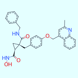 Cc1cc(COc2ccc(C[C@]3(C(=O)NCc4ccccc4)C[C@@H]3C(=O)NO)cc2)c2ccccc2n1